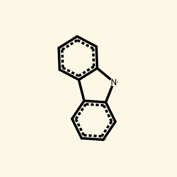 [c]1ccc2c(c1)[N]c1ccccc1-2